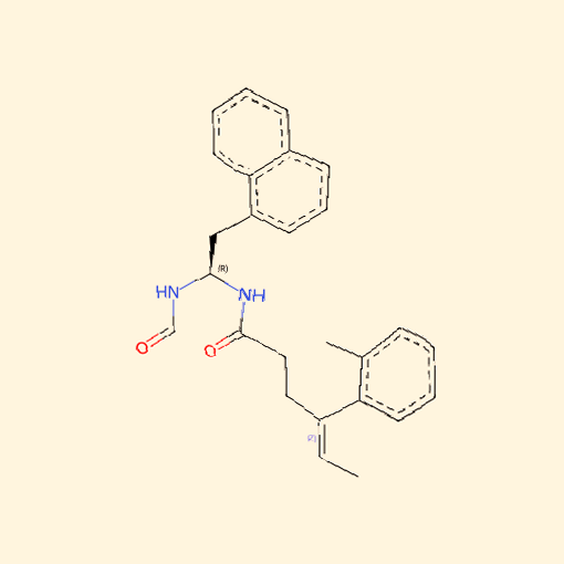 C/C=C(/CCC(=O)N[C@H](Cc1cccc2ccccc12)NC=O)c1ccccc1C